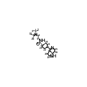 CC(C)N(CCNC(=O)c1ccc(-c2nccc3[nH]ccc23)cc1)C(C)C